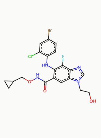 O=C(NOCC1CC1)c1cc2c(ncn2CCO)c(F)c1Nc1ccc(Br)cc1Cl